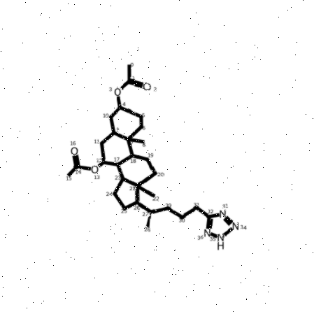 CC(=O)OC1CCC2(C)C(C1)CC(OC(C)=O)C1C2CCC2(C)C1CCC2[C@H](C)CCCc1nn[nH]n1